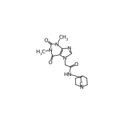 Cn1c(=O)c2c(ncn2CC(=O)NC2CN3CCC2CC3)n(C)c1=O